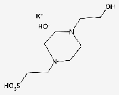 O=S(=O)(O)CCN1CCN(CCO)CC1.[K+].[OH-]